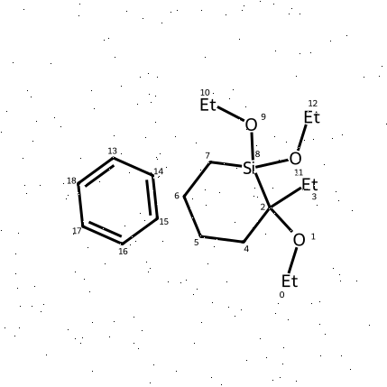 CCOC1(CC)CCCC[Si]1(OCC)OCC.c1ccccc1